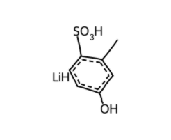 Cc1cc(O)ccc1S(=O)(=O)O.[LiH]